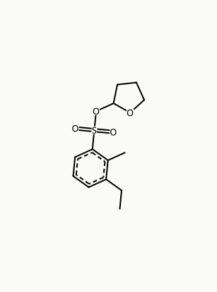 CCc1cccc(S(=O)(=O)OC2CCCO2)c1C